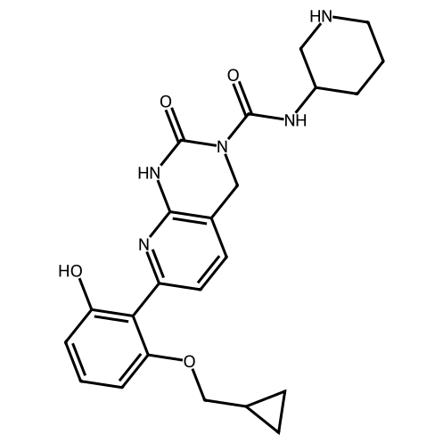 O=C1Nc2nc(-c3c(O)cccc3OCC3CC3)ccc2CN1C(=O)NC1CCCNC1